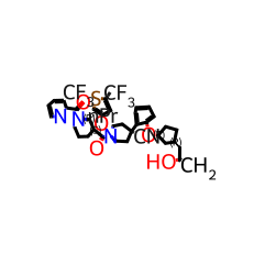 C=C(O)C[C@@H]1CC[C@@H](Oc2ccccc2C2(C#N)CCN(C(=O)[C@]3(Oc4csc(C(F)(F)F)c4)CCCN(C(=O)c4ncccc4C(F)(F)F)[C@@H]3CCC)CC2)C1